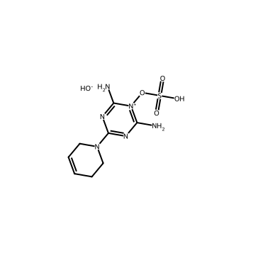 Nc1nc(N2CC=CCC2)nc(N)[n+]1OS(=O)(=O)O.[OH-]